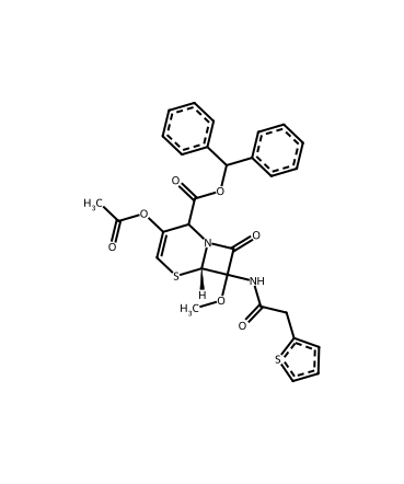 COC1(NC(=O)Cc2cccs2)C(=O)N2C(C(=O)OC(c3ccccc3)c3ccccc3)C(OC(C)=O)=CS[C@H]21